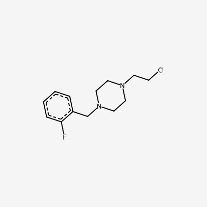 Fc1ccccc1CN1CCN(CCCl)CC1